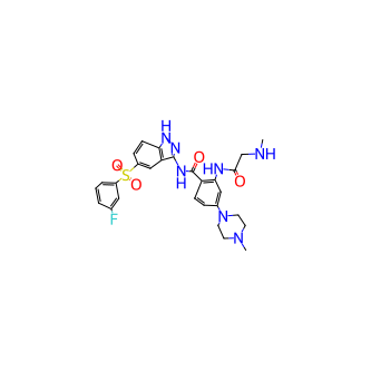 CNCC(=O)Nc1cc(N2CCN(C)CC2)ccc1C(=O)Nc1n[nH]c2ccc(S(=O)(=O)c3cccc(F)c3)cc12